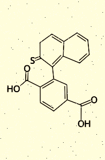 O=C(O)c1ccc(C(=O)O)c(C2=c3ccccc3=CCC2=S)c1